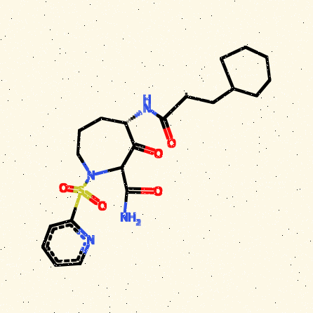 NC(=O)C1C(=O)[C@@H](NC(=O)[CH]CC2CCCCC2)CCCN1S(=O)(=O)c1ccccn1